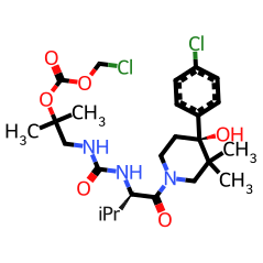 CC(C)[C@@H](NC(=O)NCC(C)(C)OC(=O)OCCl)C(=O)N1CC[C@](O)(c2ccc(Cl)cc2)C(C)(C)C1